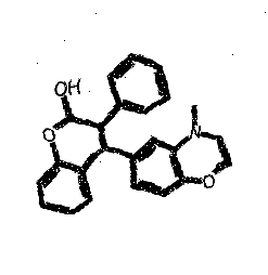 CN1CCOc2ccc(C3c4ccccc4OC(O)C3c3ccccc3)cc21